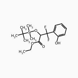 CCOC(=O)C(O[Si](C)(C)C(C)(C)C)C(F)(F)c1ccccc1O